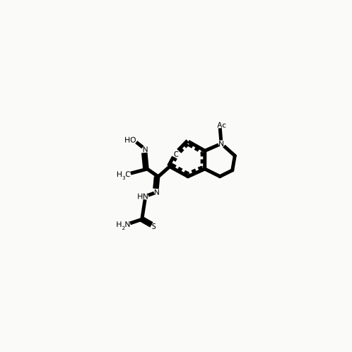 CC(=O)N1CCCc2cc(C(=NNC(N)=S)C(C)=NO)ccc21